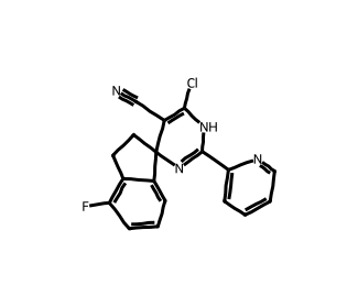 N#CC1=C(Cl)NC(c2ccccn2)=NC12CCc1c(F)cccc12